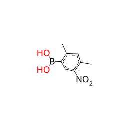 Cc1cc(C)c([N+](=O)[O-])cc1B(O)O